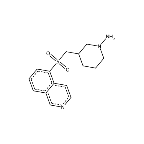 NN1CCCC(CS(=O)(=O)c2cccc3cnccc23)C1